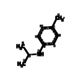 [CH2]c1ccc(NC(C)C)cc1